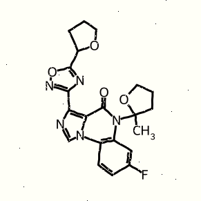 CC1(n2c(=O)c3c(-c4noc(C5CCCO5)n4)ncn3c3ccc(F)cc32)CCCO1